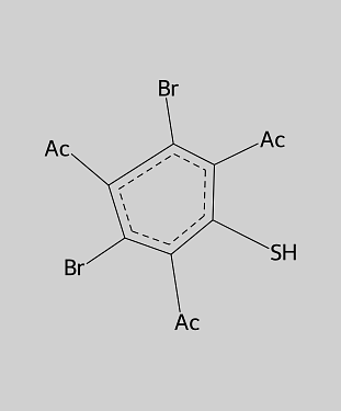 CC(=O)c1c(S)c(C(C)=O)c(Br)c(C(C)=O)c1Br